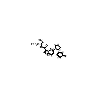 O=C(N[C@H](CO)C(=O)O)c1cnc2ccc(N3CCC[C@@H]3c3cccc(F)c3)nn12